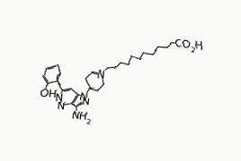 Nc1nn(C2CCN(CCCCCCCCCCCC(=O)O)CC2)c2cc(-c3ccccc3O)nnc12